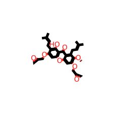 COc1c(OCC2CO2)cc2oc3cc(OCC4CO4)c(CC=C(C)C)c(O)c3c(=O)c2c1CC=C(C)C